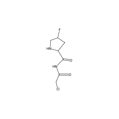 O=C(CCl)NC(=O)C1CC(F)CN1